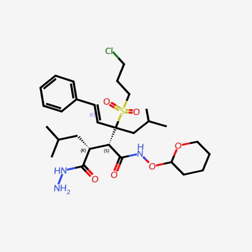 CC(C)C[C@@H](C(=O)NN)[C@@H](C(=O)NOC1CCCCO1)C(/C=C/c1ccccc1)(CC(C)C)S(=O)(=O)CCCCl